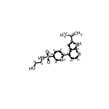 CC(C)c1cc2c(-c3ccc(S(=O)(=O)NCCO)cn3)ccnc2[nH]1